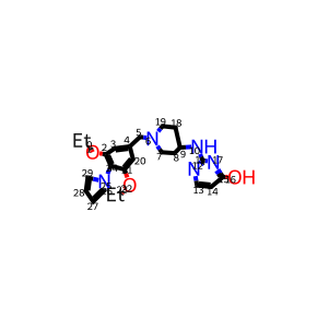 CCOc1cc(CN2CCC(Nc3nccc(O)n3)CC2)cc(OCC)c1-n1cccc1